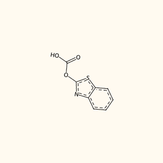 O=C(O)Oc1nc2ccccc2s1